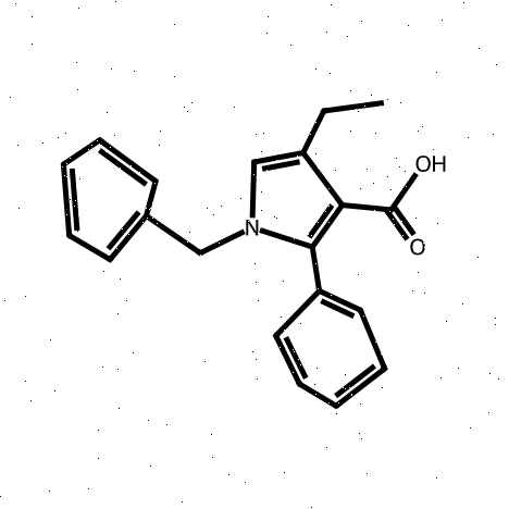 CCc1cn(Cc2ccccc2)c(-c2ccccc2)c1C(=O)O